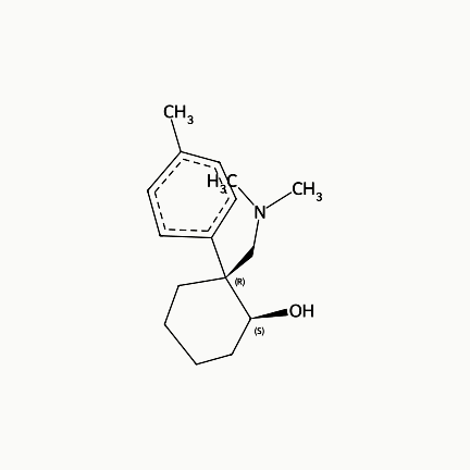 Cc1ccc([C@@]2(CN(C)C)CCCC[C@@H]2O)cc1